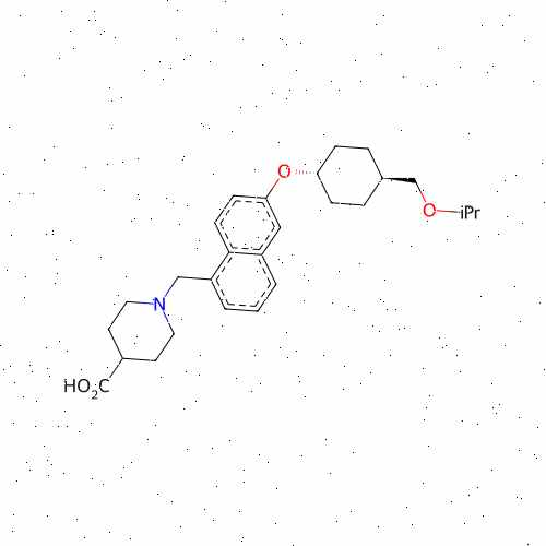 CC(C)OC[C@H]1CC[C@H](Oc2ccc3c(CN4CCC(C(=O)O)CC4)cccc3c2)CC1